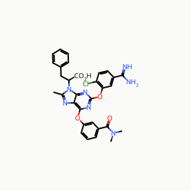 Cc1nc2c(Oc3cccc(C(=O)N(C)C)c3)nc(Oc3cc(C(=N)N)ccc3Cl)nc2n1C(Cc1ccccc1)C(=O)O